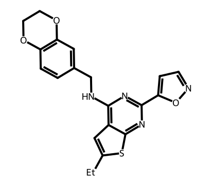 CCc1cc2c(NCc3ccc4c(c3)OCCO4)nc(-c3ccno3)nc2s1